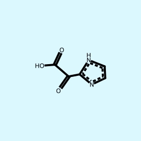 O=C(O)C(=O)c1ncc[nH]1